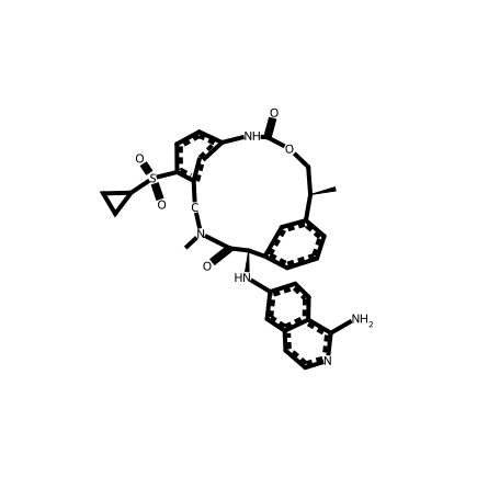 C[C@@H]1COC(=O)Nc2ccc(S(=O)(=O)C3CC3)c(c2)CN(C)C(=O)[C@H](Nc2ccc3c(N)nccc3c2)c2cccc1c2